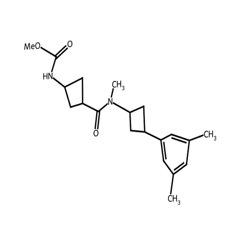 COC(=O)NC1CC(C(=O)N(C)C2CC(c3cc(C)cc(C)c3)C2)C1